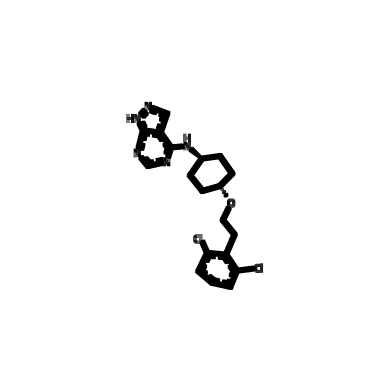 Clc1cccc(Cl)c1CCO[C@H]1CC[C@H](Nc2ncnc3[nH]ncc23)CC1